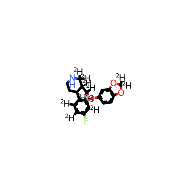 [2H]c1c([2H])c(C2CCNC([2H])([2H])[C@]2([2H])C([2H])([2H])Oc2ccc3c(c2)OC([2H])([2H])O3)c([2H])c([2H])c1F